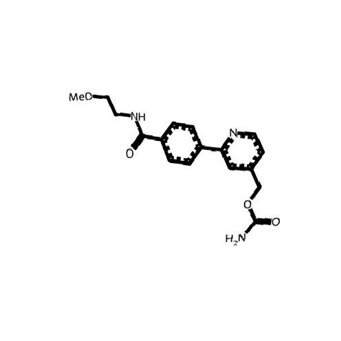 COCCNC(=O)c1ccc(-c2cc(COC(N)=O)ccn2)cc1